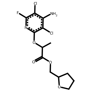 CC(Oc1nc(F)c(Cl)c(N)c1Cl)C(=O)OCC1CCCO1